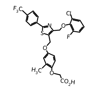 Cc1cc(OCc2sc(-c3ccc(C(F)(F)F)cc3)nc2COc2c(F)cccc2Cl)ccc1OCC(=O)O